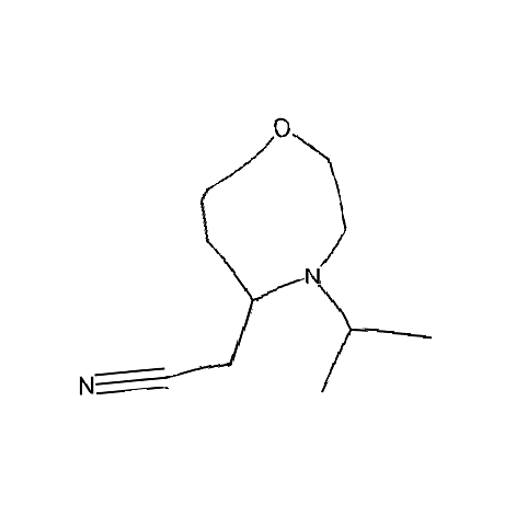 CC(C)N1CCOCCC1CC#N